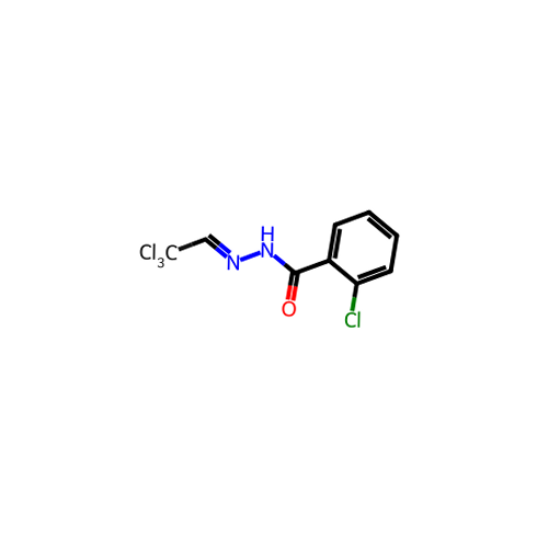 O=C(NN=CC(Cl)(Cl)Cl)c1ccccc1Cl